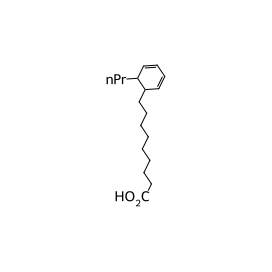 CCCC1C=CC=CC1CCCCCCCCC(=O)O